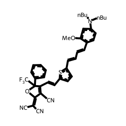 CCCCN(CCCC)c1ccc(C=CC=Cc2ccc(C=CC3=C(C#N)C(=C(C#N)C#N)OC3(c3ccccc3)C(F)(F)F)s2)c(OC)c1